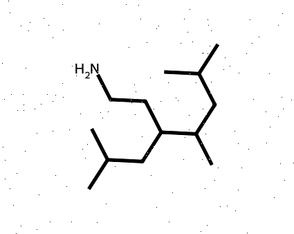 CC(C)CC(C)C(CCN)CC(C)C